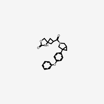 O=C1NC2(CO1)CC(C(=O)N1CC3CC3(c3ccc(Oc4ccccc4)cc3)C1)C2